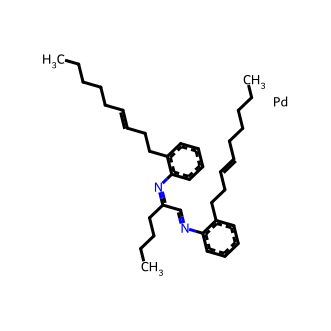 CCCCC/C=C/CCc1ccccc1/N=C(\C=N\c1ccccc1CC/C=C/CCCCC)CCCC.[Pd]